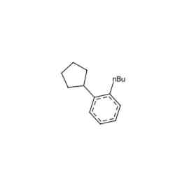 [CH2]CCCc1ccccc1C1CCCC1